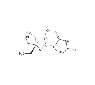 CC[C@]1(CO)O[C@@H](n2ccc(=O)[nH]c2=O)[C@@H](O)C1O